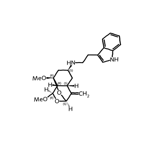 C=C1[C@H]2O[C@@H](OC)[C@H]3[C@@H]1C[C@H](NCCc1c[nH]c4ccccc14)C[C@@]3(OC)O2